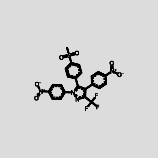 CS(=O)(=O)c1ccc(-c2c(-c3ccc([N+](=O)[O-])cc3)c(C(F)(F)F)nn2-c2ccc([N+](=O)[O-])cc2)cc1